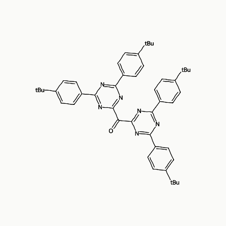 CC(C)(C)c1ccc(-c2nc(C(=O)c3nc(-c4ccc(C(C)(C)C)cc4)nc(-c4ccc(C(C)(C)C)cc4)n3)nc(-c3ccc(C(C)(C)C)cc3)n2)cc1